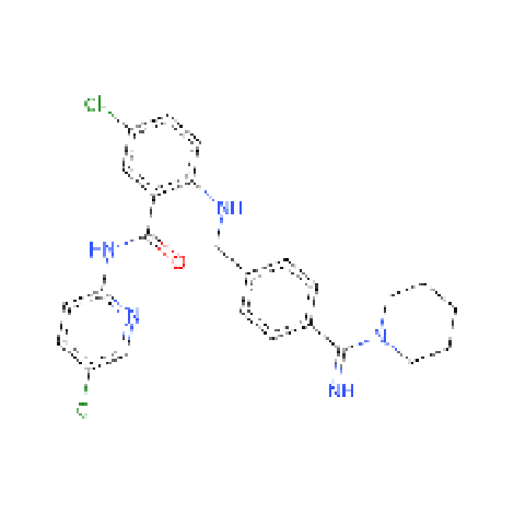 N=C(c1ccc(CNc2ccc(Cl)cc2C(=O)Nc2ccc(Cl)cn2)cc1)N1CCCCC1